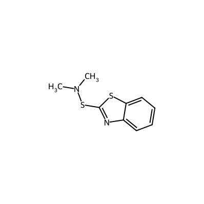 CN(C)Sc1nc2ccccc2s1